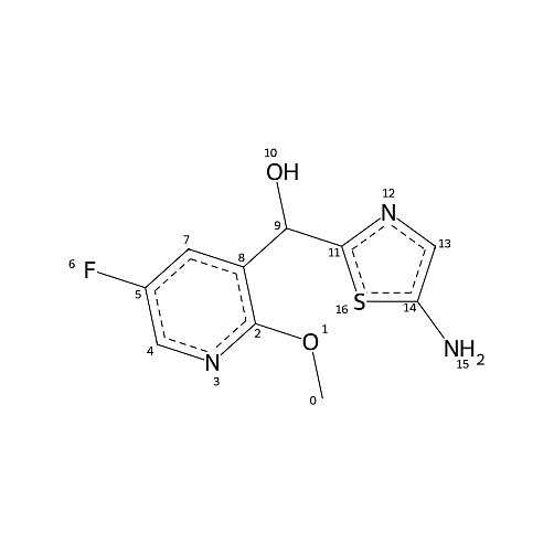 COc1ncc(F)cc1C(O)c1ncc(N)s1